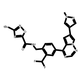 Cn1cc(-c2cc3c(-c4ccc(CNC(=O)c5nc(C(C)(C)C)no5)c(C(F)F)c4)ncnn3c2)cn1